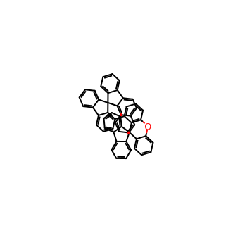 c1ccc2c(c1)Oc1cccc(-c3cccc4c3C3(c5ccccc5-4)c4ccccc4-c4ccc5ccccc5c43)c1C21c2ccccc2-c2ccccc21